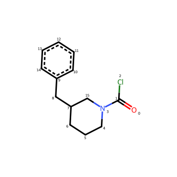 O=C(Cl)N1CCCC(Cc2ccccc2)C1